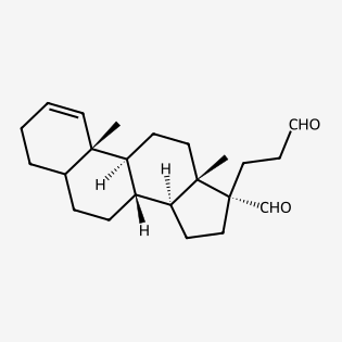 C[C@]12C=CCCC1CC[C@@H]1[C@@H]2CC[C@@]2(C)[C@H]1CC[C@]2(C=O)CCC=O